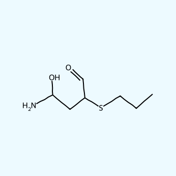 CCCSC(C=O)CC(N)O